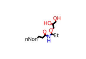 CCCCCCCCCCCC(=O)NC(CC)OCC(O)CO